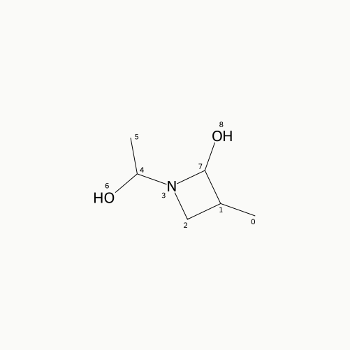 CC1CN(C(C)O)C1O